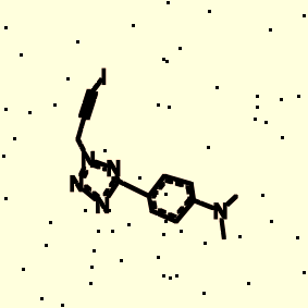 CN(C)c1ccc(-c2nnn(CC#CI)n2)cc1